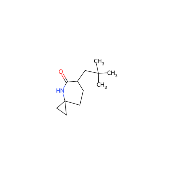 CC(C)(C)CC1CCC2(CC2)NC1=O